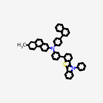 CC1C=Cc2c(ccc3cc(N(c4ccc(-c5cccc6ccccc56)cc4)c4cccc(-c5cccc6c5sc5c7ccccc7n(-c7ccccc7)c65)c4)ccc23)C1